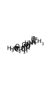 Cc1nc2cc(Cn3cccc(NC(=O)C(CC/C=C/C(=O)N(C)C)NC(=O)O)c3=O)[nH]c2c(CC(C)C)c1F